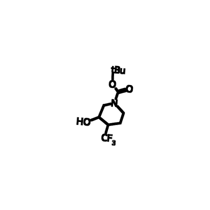 CC(C)(C)OC(=O)N1CCC(C(F)(F)F)C(O)C1